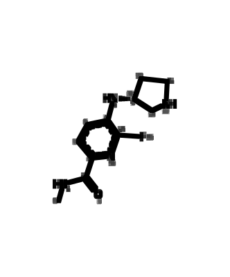 CNC(=O)c1ccc(N[C@@H]2CCNC2)c(F)n1